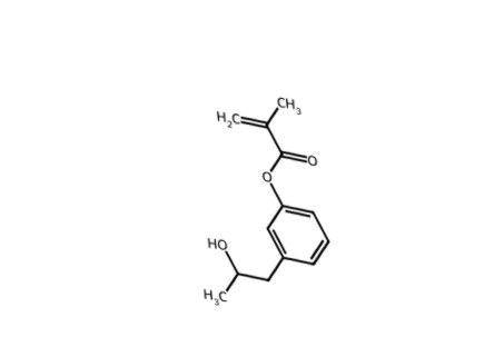 C=C(C)C(=O)Oc1cccc(CC(C)O)c1